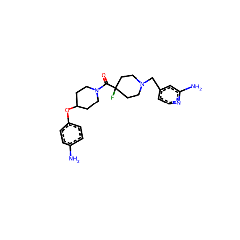 Nc1ccc(OC2CCN(C(=O)C3(F)CCN(Cc4ccnc(N)c4)CC3)CC2)cc1